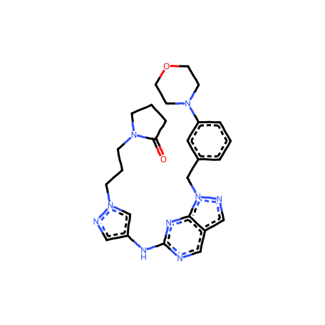 O=C1CCCN1CCCn1cc(Nc2ncc3cnn(Cc4cccc(N5CCOCC5)c4)c3n2)cn1